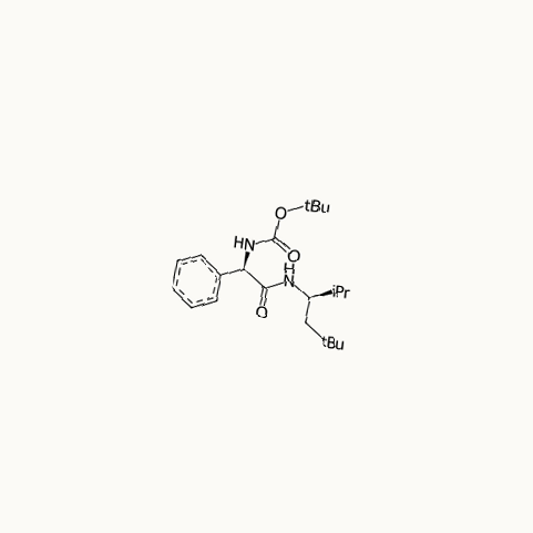 CC(C)[C@@H](CC(C)(C)C)NC(=O)[C@H](NC(=O)OC(C)(C)C)c1ccccc1